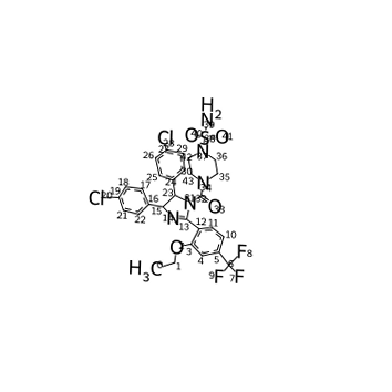 CCOc1cc(C(F)(F)F)ccc1C1=NC(c2ccc(Cl)cc2)C(c2ccc(Cl)cc2)N1C(=O)N1CCN(S(N)(=O)=O)CC1